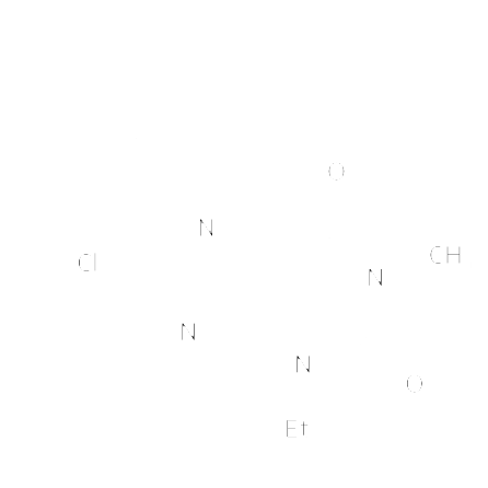 CCn1c(=O)n(C)c(=O)c2c1nc(Cl)n2Cc1ccccc1